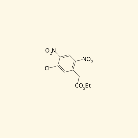 CCOC(=O)Cc1cc(Cl)c([N+](=O)[O-])cc1[N+](=O)[O-]